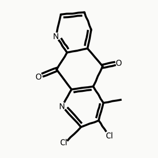 Cc1c(Cl)c(Cl)nc2c1C(=O)c1cccnc1C2=O